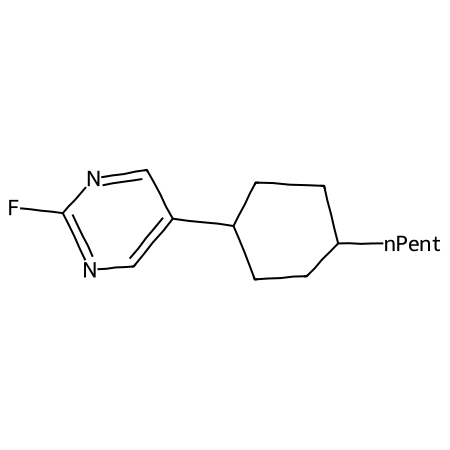 CCCCCC1CCC(c2cnc(F)nc2)CC1